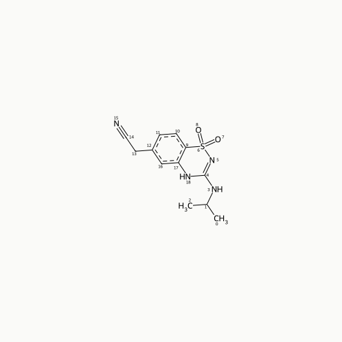 CC(C)NC1=NS(=O)(=O)c2ccc(CC#N)cc2N1